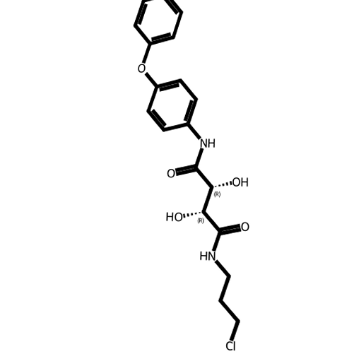 O=C(NCCCCl)[C@H](O)[C@@H](O)C(=O)Nc1ccc(Oc2ccccc2)cc1